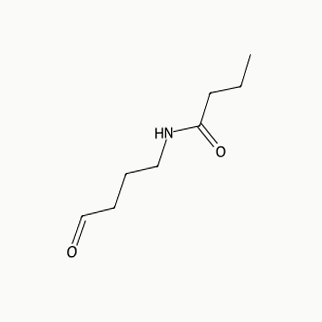 CCCC(=O)NCCCC=O